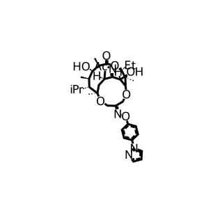 CC[C@H]1OC(=O)[C@H](C)[C@@H](O)[C@H](C)[C@@H](C(C)C)[C@@]2(C)C[C@@H](C)/C(=N\C(C)=O)[C@H](C)C(OC/C(=N\Oc3ccc(-n4cccn4)cc3)CO2)[C@]1(C)O